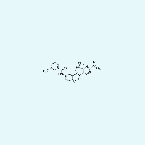 CNc1nc([S+](C)[O-])ncc1C(=O)Nc1cc(NC(=O)c2cccc(C)c2)ccc1C